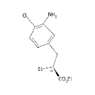 CCOC(=O)[C@@H](CC)Cc1ccc(Cl)c(N)c1